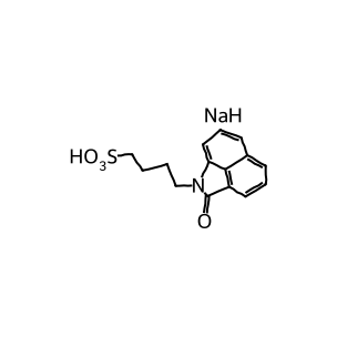 O=C1c2cccc3cccc(c23)N1CCCCS(=O)(=O)O.[NaH]